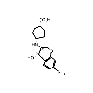 Nc1ccc2c(c1)OC[C@@H](N[C@H]1CC[C@@H](C(=O)O)CC1)[C@H]2O